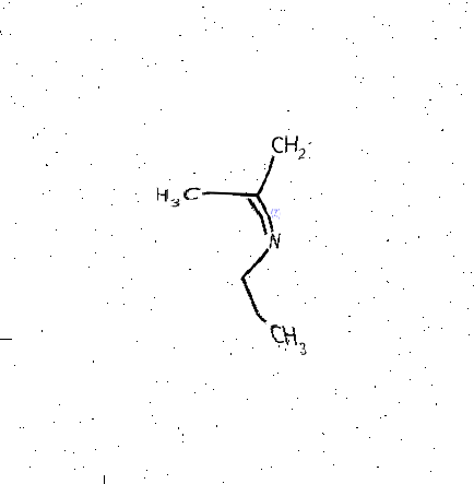 [CH2]/C(C)=N/CC